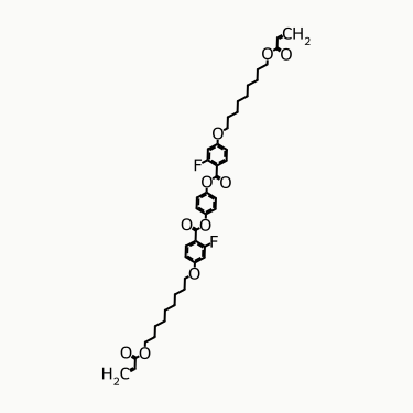 C=CC(=O)OCCCCCCCCCOc1ccc(C(=O)Oc2ccc(OC(=O)c3ccc(OCCCCCCCCCOC(=O)C=C)cc3F)cc2)c(F)c1